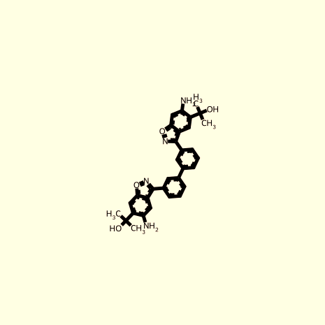 CC(C)(O)c1cc2onc(-c3cccc(-c4cccc(-c5noc6cc(N)c(C(C)(C)O)cc56)c4)c3)c2cc1N